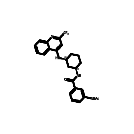 CC(=O)Nc1cccc(C(=O)N[C@@H]2CCC[C@H](Nc3cc(C(F)(F)F)nc4ccccc34)C2)c1